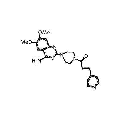 COc1cc2nc(N3CCN(C(=O)C=Cc4ccncc4)CC3)nc(N)c2cc1OC